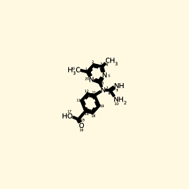 Cc1cc(C)nc(N(C(=N)N)c2ccc(C(=O)O)cc2)n1